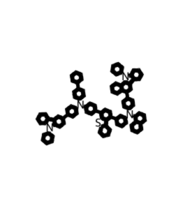 c1ccc(-c2ccc(N(c3ccc(-c4ccc5c(c4)c4ccccc4n5-c4ccccc4)cc3)c3ccc(-c4ccc(-c5cccc(N(c6ccc(-c7cc8c9ccccc9n(-c9ccccc9)c8c8ccccc78)cc6)c6cccc7ccccc67)c5)c5c4sc4ccccc45)cc3)cc2)cc1